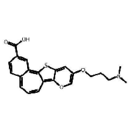 CN(C)CCCOC1=COc2c3c(sc2=C1)=c1cc(C(=O)O)ccc1=CC=C3